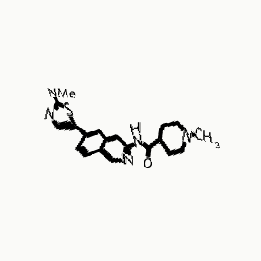 CNc1ncc(-c2ccc3cnc(NC(=O)C4CCN(C)CC4)cc3c2)s1